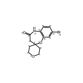 O=C1CC2(CCOCC2)Oc2cc(Br)ccc2N1